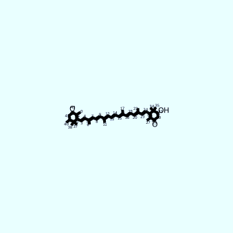 CC1=C(/C=C/C(C)=C/C=C/C(C)=C/C=C/C=C(C)/C=C/C=C(C)/C=C/C2=C(C)C(=O)CC(O)C2(C)C)C(C)(C)C(C)CC1=O